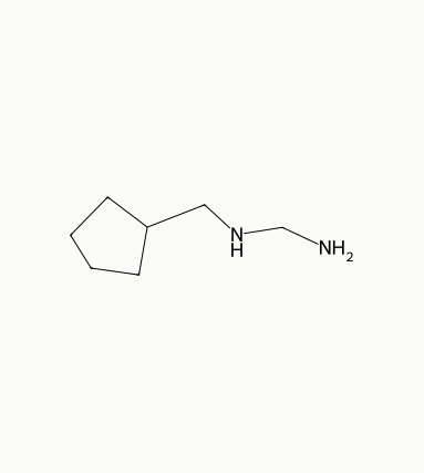 NCNCC1CCCC1